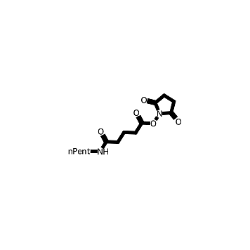 CCCCCNC(=O)CCCC(=O)ON1C(=O)CCC1=O